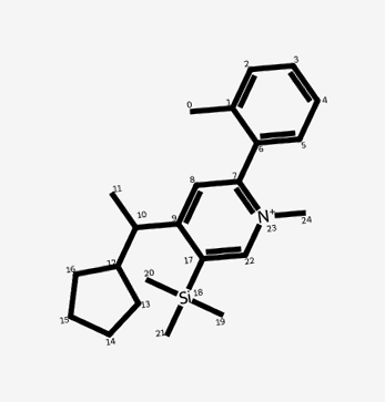 Cc1ccccc1-c1cc(C(C)C2CCCC2)c([Si](C)(C)C)c[n+]1C